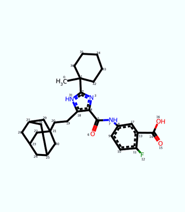 CC1(c2nc(C(=O)Nc3ccc(F)c(C(=O)O)c3)c(CCC34CC5CC(CC(C5)C3)C4)[nH]2)CCCCC1